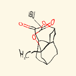 CCC(C)C(=O)OC1(C)C2CC3C(=O)OC1C3C2